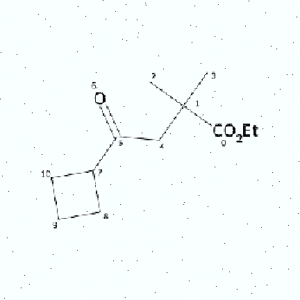 CCOC(=O)C(C)(C)CC(=O)C1CCC1